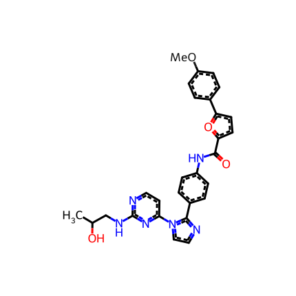 COc1ccc(-c2ccc(C(=O)Nc3ccc(-c4nccn4-c4ccnc(NCC(C)O)n4)cc3)o2)cc1